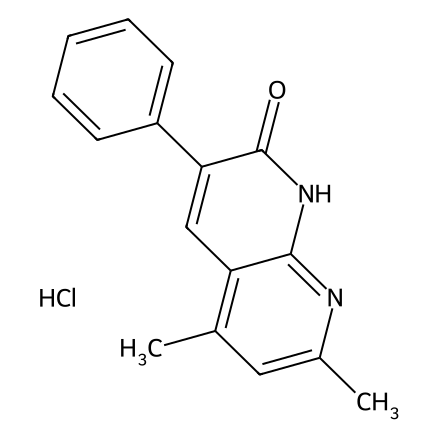 Cc1cc(C)c2cc(-c3ccccc3)c(=O)[nH]c2n1.Cl